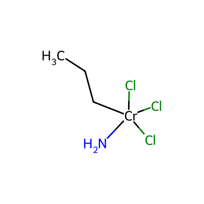 CC[CH2][Cr]([NH2])([Cl])([Cl])[Cl]